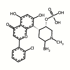 BC1C[C@H](c2c(O)cc(O)c3c(=O)cc(-c4ccccc4Cl)oc23)[C@H](OP(=O)(O)O)CN1C